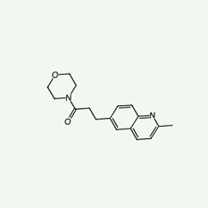 Cc1ccc2cc(CCC(=O)N3CCOCC3)ccc2n1